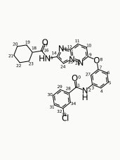 O=C(Nc1cccc(Oc2ccc3nc(NC(=O)C4CCCCC4)cn3n2)c1)c1cccc(Cl)c1